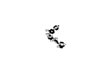 CCc1cc(N2CCN(C)CC2)ccc1Nc1ncc(C(F)(F)F)c(NCCCN2CCOCC(C)(C)C2=O)n1